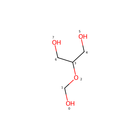 OCOC(CO)CO